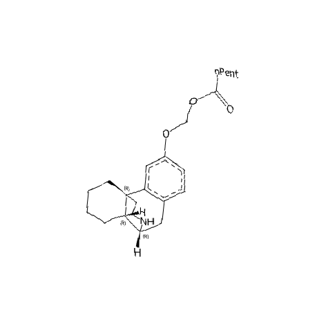 CCCCCC(=O)OCOc1ccc2c(c1)[C@@]13CCCC[C@H]1[C@@H](C2)NCC3